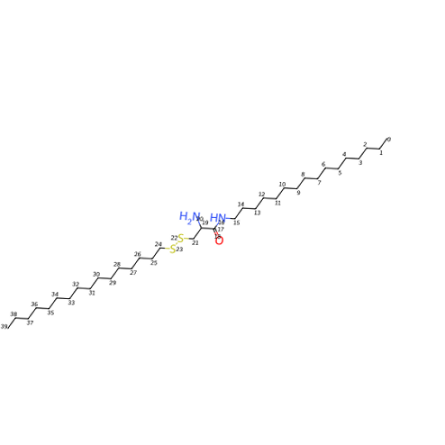 CCCCCCCCCCCCCCCCNC(=O)C(N)CSSCCCCCCCCCCCCCCCC